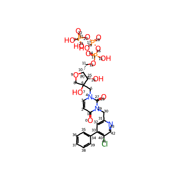 O=c1ccn(CC2(O)CO[C@H](COP(=O)(O)OP(=O)(O)OP(=O)(O)O)[C@@H]2O)c(=O)n1Cc1cc(-c2ccccc2)c(Cl)cn1